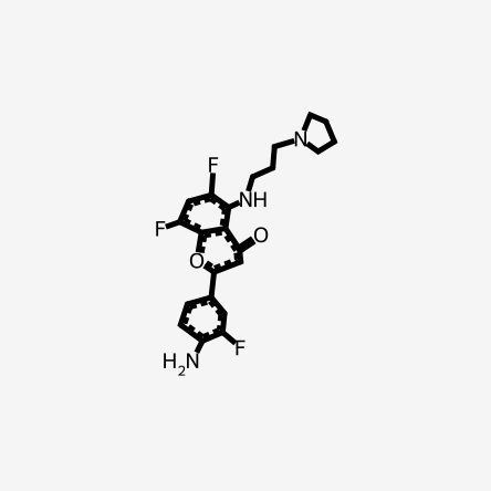 Nc1ccc(-c2cc(=O)c3c(NCCCN4CCCC4)c(F)cc(F)c3o2)cc1F